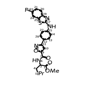 COC(=O)C(CC(C)C)NC(=O)c1cc(-c2ccc(Nc3nc4ccc(F)cc4s3)cc2)no1